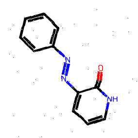 O=c1[nH]cccc1N=Nc1ccccc1